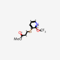 COC(=O)CCSc1cccnc1OC(F)(F)F